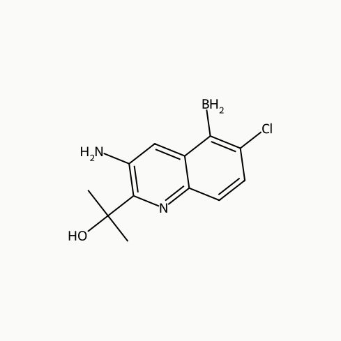 Bc1c(Cl)ccc2nc(C(C)(C)O)c(N)cc12